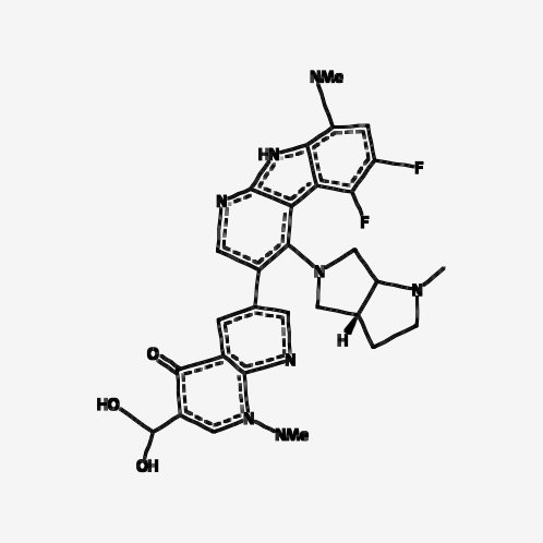 CNc1cc(F)c(F)c2c1[nH]c1ncc(-c3cnc4c(c3)c(=O)c(C(O)O)cn4NC)c(N3CC4[C@H](CCN4C)C3)c12